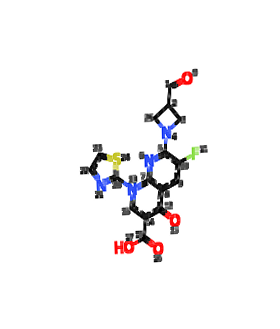 O=CC1CN(c2nc3c(cc2F)c(=O)c(C(=O)O)cn3-c2nccs2)C1